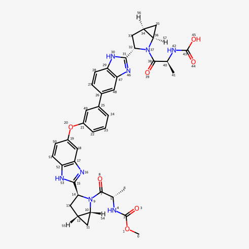 COC(=O)N[C@@H](C)C(=O)N1[C@@H]2C[C@@H]2C[C@H]1c1nc2cc(Oc3cccc(-c4ccc5[nH]c([C@@H]6C[C@H]7C[C@H]7N6C(=O)[C@H](C)NC(=O)O)nc5c4)c3)ccc2[nH]1